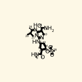 CNC(=O)c1cc(Nc2ncc(C(N)=O)c(N[C@H](C)C(C)C)n2)ccc1OS(C)(=O)=O